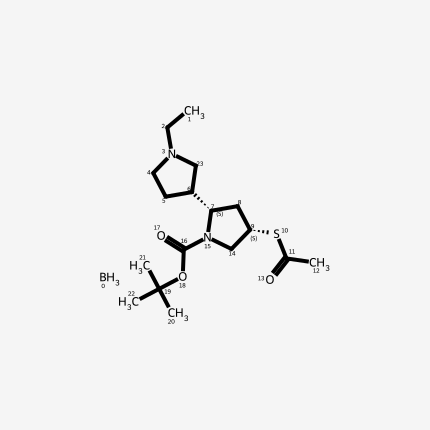 B.CCN1CCC([C@@H]2C[C@H](SC(C)=O)CN2C(=O)OC(C)(C)C)C1